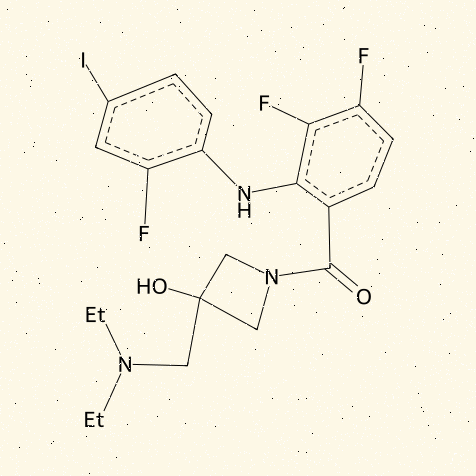 CCN(CC)CC1(O)CN(C(=O)c2ccc(F)c(F)c2Nc2ccc(I)cc2F)C1